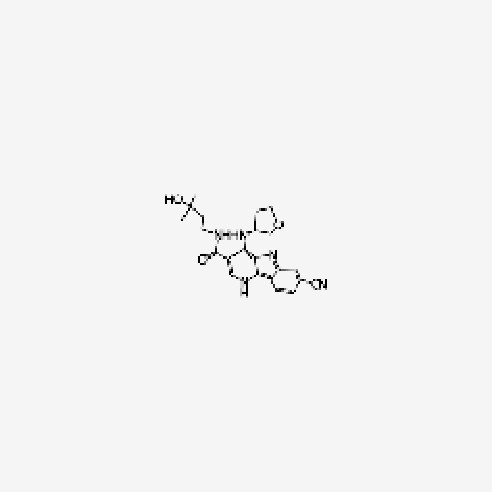 CC(C)(O)CCNC(=O)c1c[nH]c2c3ccc(C#N)cc3nc-2c1N[C@H]1CCOC1